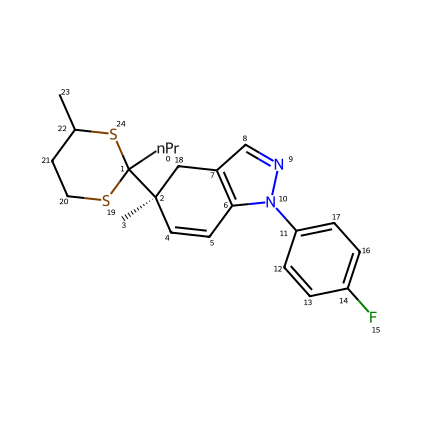 CCCC1([C@]2(C)C=Cc3c(cnn3-c3ccc(F)cc3)C2)SCCC(C)S1